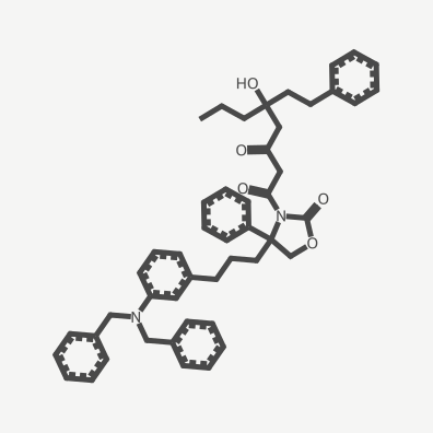 CCCC(O)(CCc1ccccc1)CC(=O)CC(=O)N1C(=O)OCC1(CCCc1cccc(N(Cc2ccccc2)Cc2ccccc2)c1)c1ccccc1